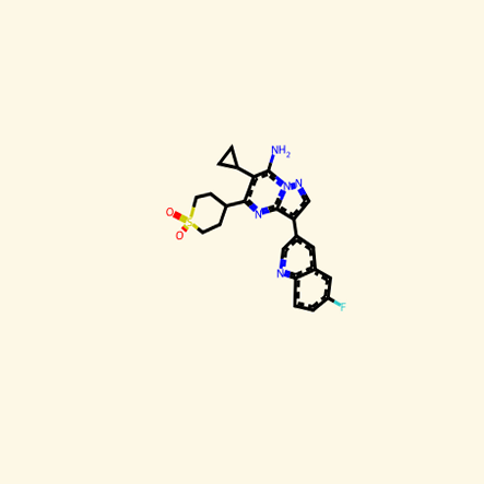 Nc1c(C2CC2)c(C2CCS(=O)(=O)CC2)nc2c(-c3cnc4ccc(F)cc4c3)cnn12